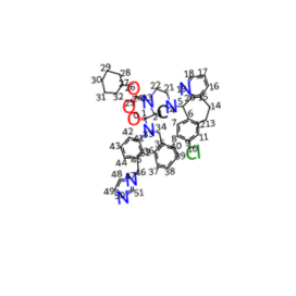 O=C(C1CN(C2c3ccc(Cl)cc3CCc3cccnc32)CCN1C(=O)OC1CCCCC1)N(Cc1ccccc1)c1cccc(Cn2ccnc2)c1